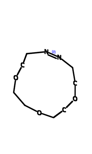 C1COCCOCCOCC/N=N\1